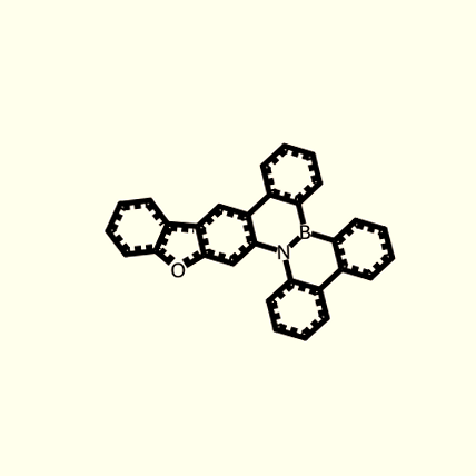 c1ccc2c(c1)B1c3ccccc3-c3cc4c(cc3N1c1ccccc1-2)oc1ccccc14